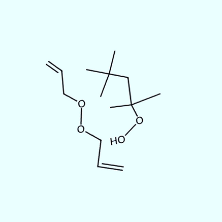 C=CCOOCC=C.CC(C)(C)CC(C)(C)OO